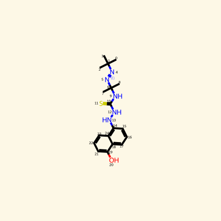 CC(C)(C)/N=N/C(C)(C)NC(=S)NNc1cccc2c(O)cccc12